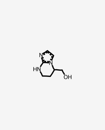 OCC1CCNc2nccn21